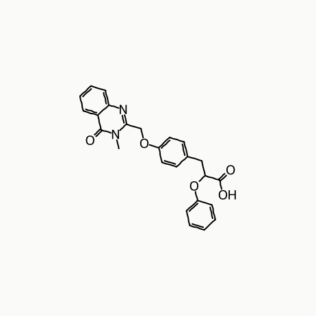 Cn1c(COc2ccc(CC(Oc3ccccc3)C(=O)O)cc2)nc2ccccc2c1=O